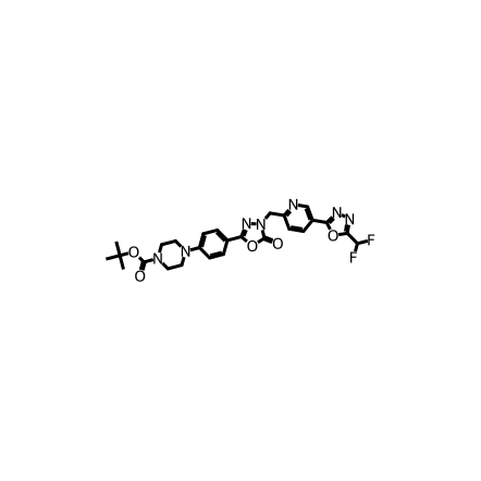 CC(C)(C)OC(=O)N1CCN(c2ccc(-c3nn(Cc4ccc(-c5nnc(C(F)F)o5)cn4)c(=O)o3)cc2)CC1